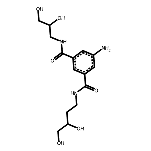 Nc1cc(C(=O)NCCC(O)CO)cc(C(=O)NCC(O)CO)c1